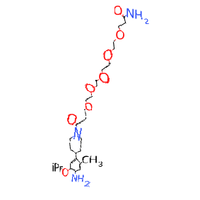 Cc1cc(N)c(OC(C)C)cc1C1CCN(C(=O)CCOCCOCCOCCOCCOCCC(N)=O)CC1